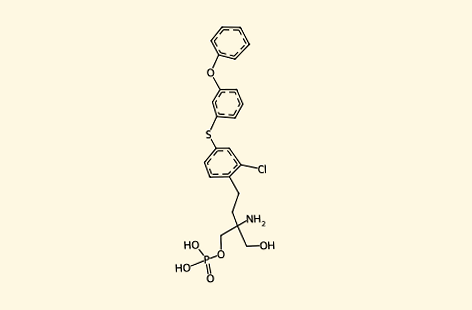 NC(CO)(CCc1ccc(Sc2cccc(Oc3ccccc3)c2)cc1Cl)COP(=O)(O)O